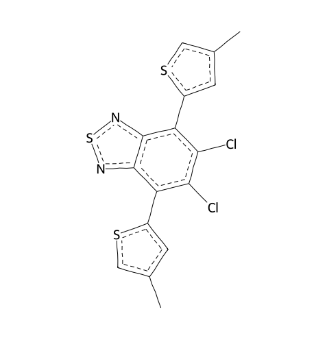 Cc1csc(-c2c(Cl)c(Cl)c(-c3cc(C)cs3)c3nsnc23)c1